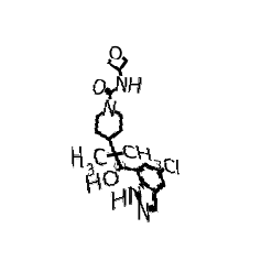 CC(C)(C1CCN(C(=O)NC2COC2)CC1)[C@H](O)c1cc(Cl)cc2cn[nH]c12